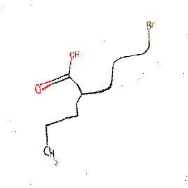 CCCC(CCCBr)C(=O)O